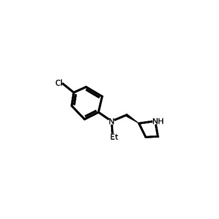 CCN(C[C@@H]1CCN1)c1ccc(Cl)cc1